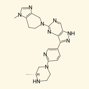 C[C@@H]1CN(c2ccc(-c3n[nH]c4cnc(N5CCc6c(ncn6C)C5)nc34)cn2)CCN1